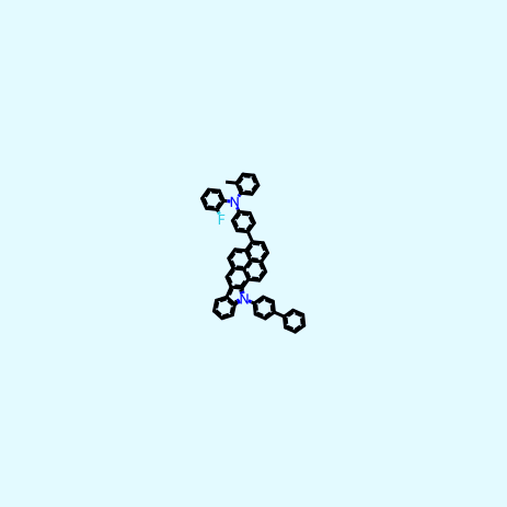 Cc1ccccc1N(c1ccc(-c2ccc3ccc4c5c(ccc2c35)cc2c3ccccc3n(-c3ccc(-c5ccccc5)cc3)c24)cc1)c1ccccc1F